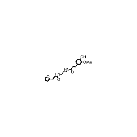 COc1cc(/C=C/C(=O)NCCCNC(=O)/C=C/c2ccco2)ccc1O